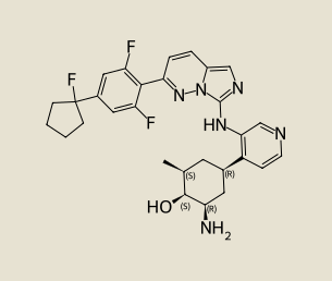 C[C@H]1C[C@@H](c2ccncc2Nc2ncc3ccc(-c4c(F)cc(C5(F)CCCC5)cc4F)nn23)C[C@@H](N)[C@H]1O